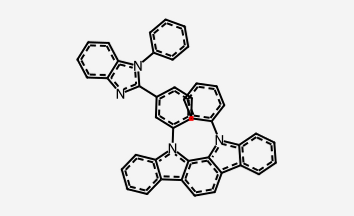 c1ccc(-n2c(-c3cccc(-n4c5ccccc5c5ccc6c7ccccc7n(-c7ccccc7)c6c54)c3)nc3ccccc32)cc1